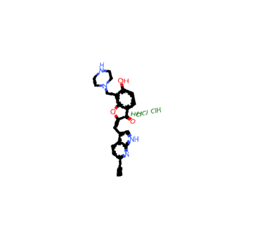 C#Cc1ccc2c(C=C3Oc4c(ccc(O)c4CN4CCNCC4)C3=O)c[nH]c2n1.Cl.Cl.Cl